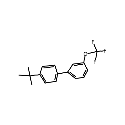 CC(C)(C)c1ccc(-c2cccc(OC(F)(F)F)c2)cc1